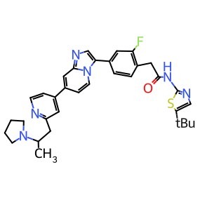 CC(Cc1cc(-c2ccn3c(-c4ccc(CC(=O)Nc5ncc(C(C)(C)C)s5)c(F)c4)cnc3c2)ccn1)N1CCCC1